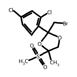 CC1(S(C)(=O)=O)COC(CBr)(c2ccc(Cl)cc2Cl)O1